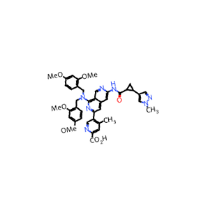 COc1ccc(CN(Cc2ccc(OC)cc2OC)c2nc(-c3cnc(C(=O)O)cc3C)cc3cc(NC(=O)C4CC4c4cnn(C)c4)ncc23)c(OC)c1